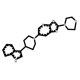 c1ccc2c(C3CCN(c4cnc5nc(N6CCOCC6)oc5c4)CC3)c[nH]c2c1